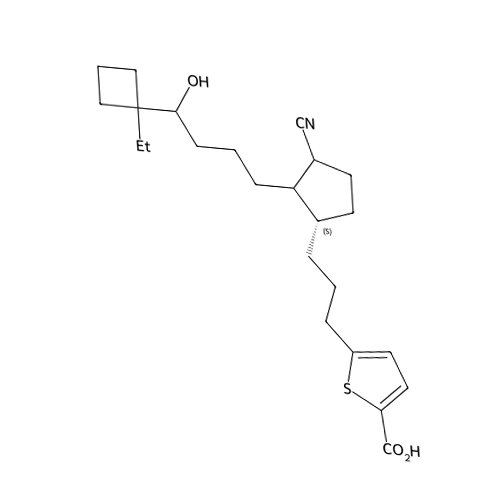 CCC1(C(O)CCCC2C(C#N)CC[C@@H]2CCCc2ccc(C(=O)O)s2)CCC1